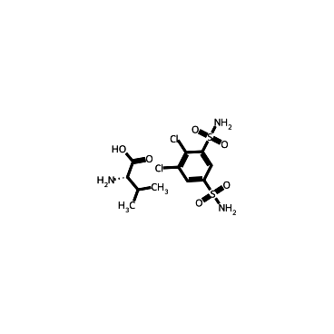 CC(C)[C@H](N)C(=O)O.NS(=O)(=O)c1cc(Cl)c(Cl)c(S(N)(=O)=O)c1